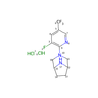 Cl.Cl.Fc1cc(C(F)(F)F)cnc1N1CC2CCC(C1)N2